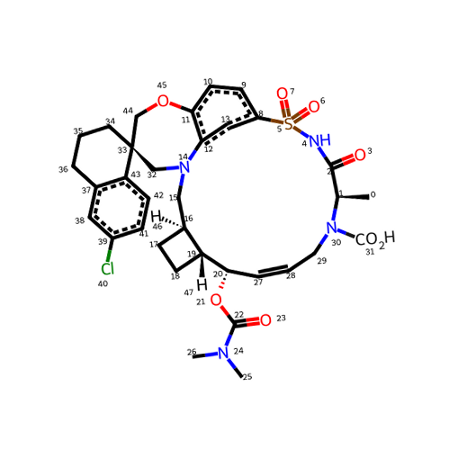 C[C@@H]1C(=O)NS(=O)(=O)c2ccc3c(c2)N(C[C@@H]2CC[C@H]2[C@@H](OC(=O)N(C)C)C=CCN1C(=O)O)C[C@@]1(CCCc2cc(Cl)ccc21)CO3